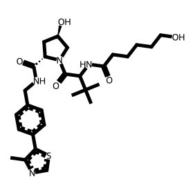 Cc1ncsc1-c1ccc(CNC(=O)[C@@H]2C[C@@H](O)CN2C(=O)C(NC(=O)CCCCCO)C(C)(C)C)cc1